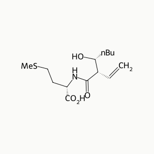 C=C[C@H](C(=O)N[C@@H](CCSC)C(=O)O)[C@H](O)CCCC